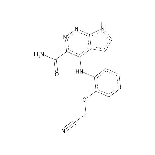 N#CCOc1ccccc1Nc1c(C(N)=O)nnc2[nH]ccc12